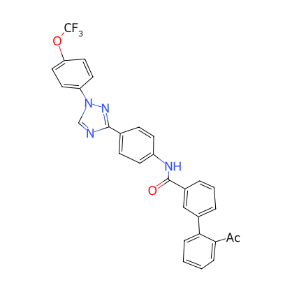 CC(=O)c1ccccc1-c1cccc(C(=O)Nc2ccc(-c3ncn(-c4ccc(OC(F)(F)F)cc4)n3)cc2)c1